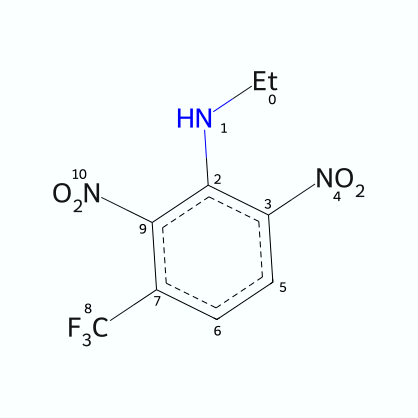 CCNc1c([N+](=O)[O-])ccc(C(F)(F)F)c1[N+](=O)[O-]